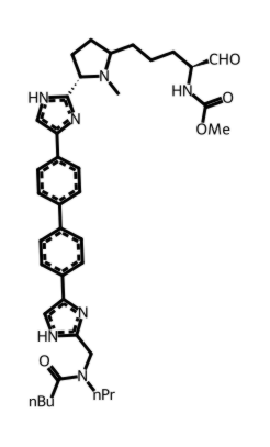 CCCCC(=O)N(CCC)Cc1nc(-c2ccc(-c3ccc(-c4c[nH]c([C@@H]5CCC(CCC[C@@H](C=O)NC(=O)OC)N5C)n4)cc3)cc2)c[nH]1